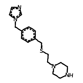 c1cn(Cc2ccc(CSCCN3CCNCC3)cc2)cn1